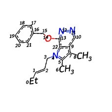 CCC=CCn1c(C)c(C)c2cnnc(OCc3ccccc3)c21